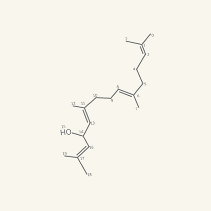 CC(C)=CCCC(C)=CCCC(C)=CC(O)C=C(C)C